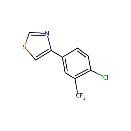 FC(F)(F)c1cc(-c2cscn2)ccc1Cl